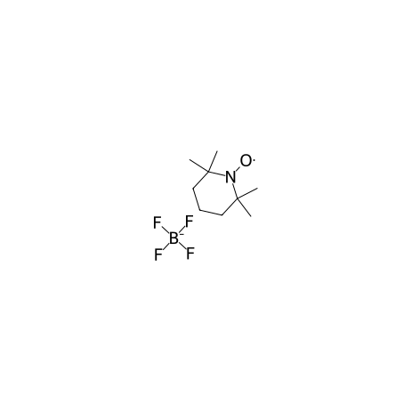 CC1(C)CCCC(C)(C)N1[O].F[B-](F)(F)F